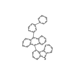 c1ccc(-c2cccc(-c3c4ccccc4c(-c4cccc5sc6ccccc6c45)c4ccccc34)c2)cc1